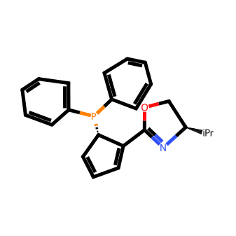 CC(C)[C@@H]1COC(C2=CC=C[C@@H]2P(c2ccccc2)c2ccccc2)=N1